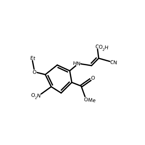 CCOc1cc(NC=C(C#N)C(=O)O)c(C(=O)OC)cc1[N+](=O)[O-]